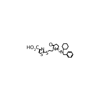 O=C(O)c1csc(SCCN2C(=O)CC[C@@H]2CN(Cc2ccccc2)C2CCCCC2)n1